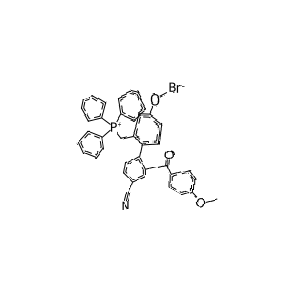 COc1ccc(C(=O)c2cc(C#N)ccc2-c2ccc(OC)cc2C[P+](c2ccccc2)(c2ccccc2)c2ccccc2)cc1.[Br-]